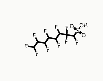 O=S(=O)(O)C(F)C(F)(F)C(F)C(F)C(F)C(F)C(F)C(F)F